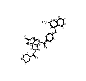 Cc1cc(Cc2ccc(C(=O)NC3CN(C(=O)C4CCNCC4)CC34NC(=O)NC4=O)cc2)c2ccccc2n1